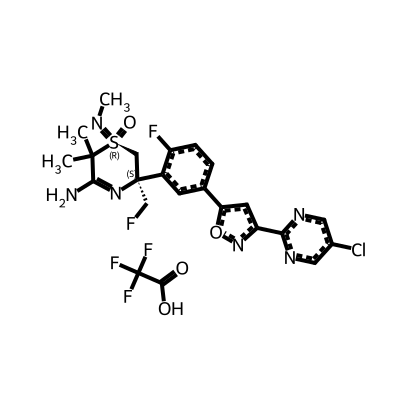 CN=[S@@]1(=O)C[C@@](CF)(c2cc(-c3cc(-c4ncc(Cl)cn4)no3)ccc2F)N=C(N)C1(C)C.O=C(O)C(F)(F)F